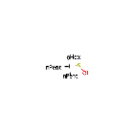 CCCCCCC(CCCCC)(CCCCC)SO